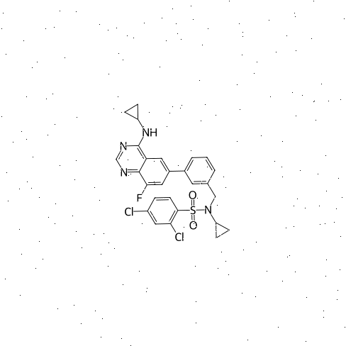 O=S(=O)(c1ccc(Cl)cc1Cl)N(Cc1cccc(-c2cc(F)c3ncnc(NC4CC4)c3c2)c1)C1CC1